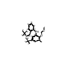 COCOc1c(C)cc(C(C)(C)C)cc1Pc1ccccc1CNC(C)(C)C